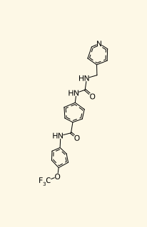 O=C(NCc1ccncc1)Nc1ccc(C(=O)Nc2ccc(OC(F)(F)F)cc2)cc1